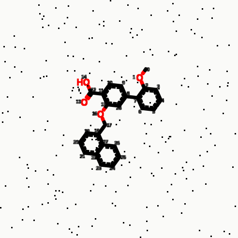 COc1ccccc1-c1ccc(C(=O)O)c(OCc2cccc3ccccc23)c1